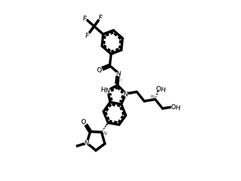 CN1CC[C@@H](c2ccc3c(c2)[nH]/c(=N\C(=O)c2cccc(C(F)(F)F)c2)n3CC[C@H](O)CO)C1=O